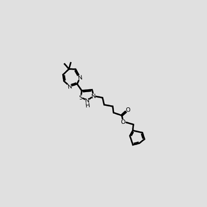 CC1(C)C=CN=C(C2=CN(CCCCC(=O)OCc3ccccc3)NS2)N=C1